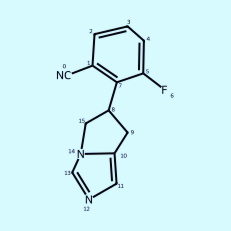 N#Cc1cccc(F)c1C1Cc2cncn2C1